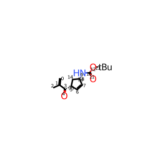 C=C(C)C(=O)[C@H]1C=C[C@@H](NC(=O)OC(C)(C)C)C1